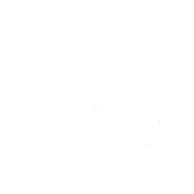 CC(C)C1CCN(C(=O)OC2CC(F)(F)C2)CC1